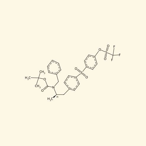 C[C@H](Cc1ccc(S(=O)(=O)c2ccc(OS(=O)(=O)C(F)(F)F)cc2)cc1)N(Cc1ccccc1)C(=O)OC(C)(C)C